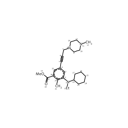 CCN(c1cc(C#CCN2CCN(C)CC2)cc(C(=O)OC)c1C)C1CCCCC1